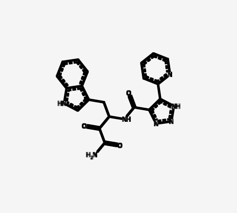 NC(=O)C(=O)C(Cc1c[nH]c2ccccc12)NC(=O)c1nn[nH]c1-c1ccccn1